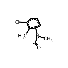 Cc1c(Cl)cccc1N(C)[C]=O